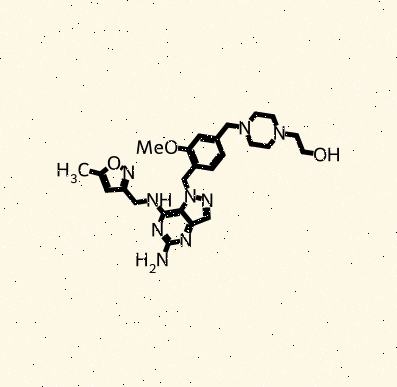 COc1cc(CN2CCN(CCO)CC2)ccc1Cn1ncc2nc(N)nc(NCc3cc(C)on3)c21